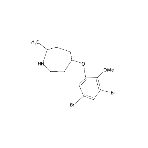 COc1c(Br)cc(Br)cc1OC1CCNC(C)CC1